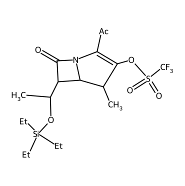 CC[Si](CC)(CC)OC(C)C1C(=O)N2C(C(C)=O)=C(OS(=O)(=O)C(F)(F)F)C(C)C12